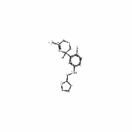 CC1(c2cc(NCC3CCCO3)ccc2F)COCC(N)=N1